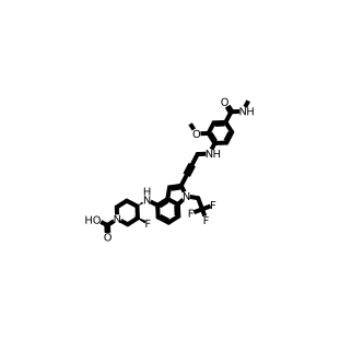 CNC(=O)c1ccc(NCC#Cc2cc3c(N[C@H]4CCN(C(=O)O)C[C@@H]4F)cccc3n2CC(F)(F)F)c(OC)c1